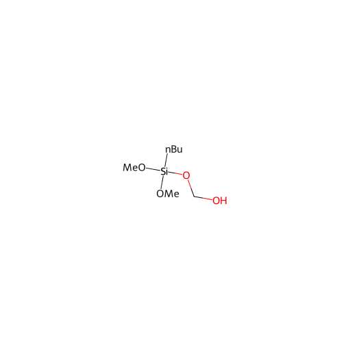 CCCC[Si](OC)(OC)OCO